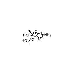 C#CC1(O)[C@@H](O)[C@@H]([C@H](C)O)O[C@H]1n1ncc(N)nc1=O